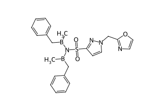 CB(Cc1ccccc1)N(B(C)Cc1ccccc1)S(=O)(=O)c1ccn(Cc2ncco2)n1